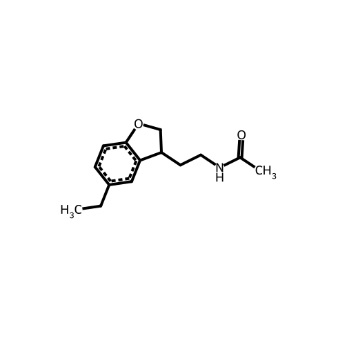 CCc1ccc2c(c1)C(CCNC(C)=O)CO2